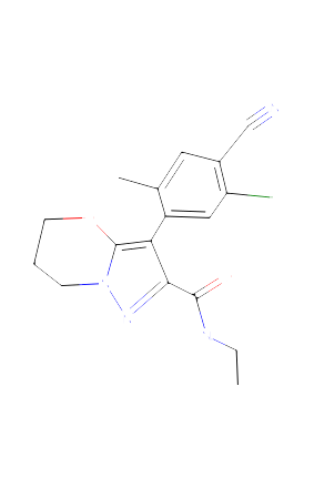 CCNC(=O)c1nn2c(c1-c1cc(F)c(C#N)cc1C)OCCC2